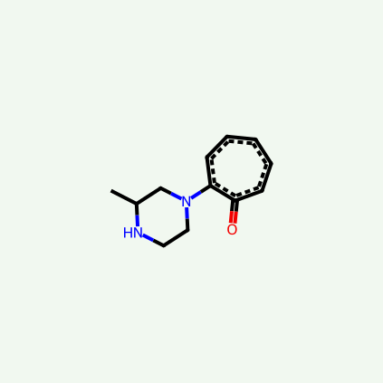 CC1CN(c2cccccc2=O)CCN1